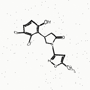 Cc1cc(N2CC(c3c(O)ccc(Cl)c3Cl)CC2=O)no1